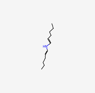 CCCCC=CNC=CCCCC